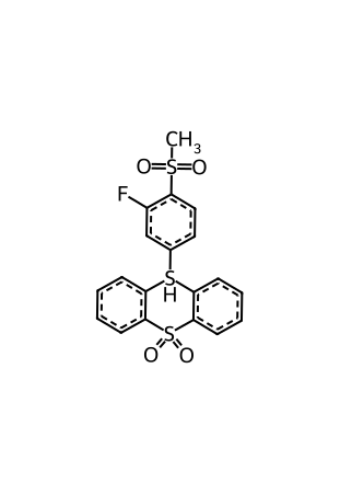 CS(=O)(=O)c1ccc([SH]2c3ccccc3S(=O)(=O)c3ccccc32)cc1F